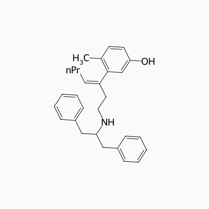 CCC/C=C(/CCNC(Cc1ccccc1)Cc1ccccc1)c1cc(O)ccc1C